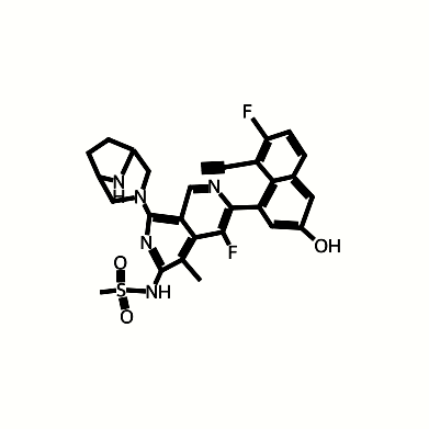 C#Cc1c(F)ccc2cc(O)cc(-c3ncc4c(N5CC6CCC(C5)N6)nc(NS(C)(=O)=O)c(C)c4c3F)c12